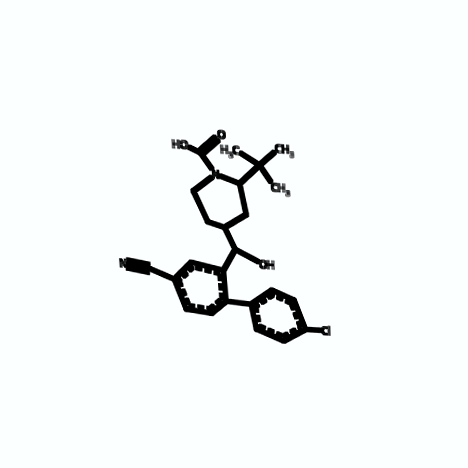 CC(C)(C)C1CC(C(O)c2cc(C#N)ccc2-c2ccc(Cl)cc2)CCN1C(=O)O